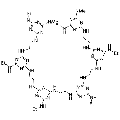 CCNc1nc(NC)nc(NCCNc2nc(NCC)nc(NCCNc3nc(NCC)nc(NCCNc4nc(NCC)nc(NCCNc5nc(NCC)nc(NCCNc6nc(NC)nc(NCC)n6)n5)n4)n3)n2)n1